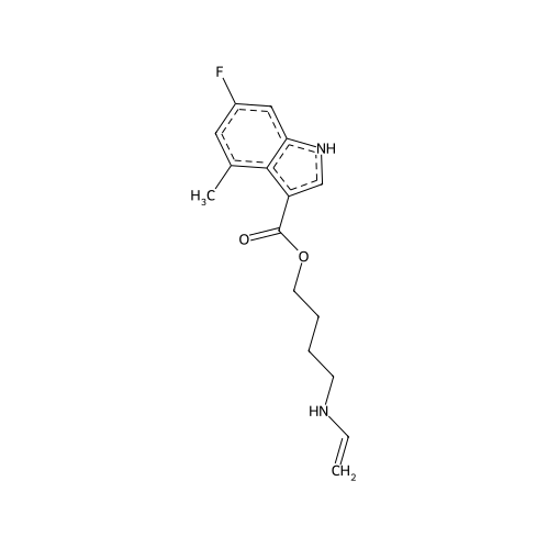 C=CNCCCCOC(=O)c1c[nH]c2cc(F)cc(C)c12